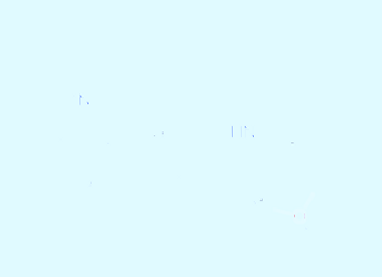 CC12COC(C1)C(CC13CCCN(CCC1)C3)N2